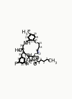 CCCCCS(=O)(=O)N(C)[C@H]1C/C=C/CCCc2ccc(C)cc2CNC[C@@H](O)[C@H](Cc2cc(F)cc(F)c2)NC1=O